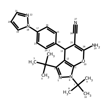 CC(C)(C)c1nn(C(C)(C)C)c2c1C(c1ccc(-n3cccn3)cc1)C(C#N)=C(N)O2